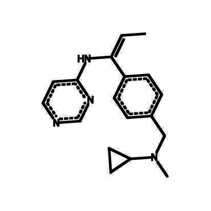 C/C=C(/Nc1ccncn1)c1ccc(CN(C)C2CC2)cc1